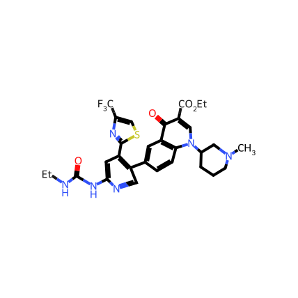 CCNC(=O)Nc1cc(-c2nc(C(F)(F)F)cs2)c(-c2ccc3c(c2)c(=O)c(C(=O)OCC)cn3C2CCCN(C)C2)cn1